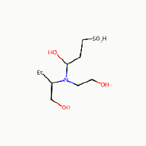 CCC(CO)N(CCO)C(O)CCS(=O)(=O)O